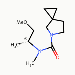 COC[C@@H](C)N(C)C(=O)N1CCC2(CC2)C1